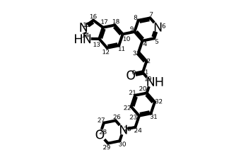 O=C(/C=C/c1cnccc1-c1ccc2[nH]ncc2c1)Nc1ccc(CN2CCOCC2)cc1